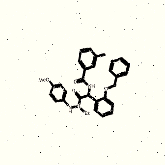 CCN(Nc1ccc(OC)cc1)C(=O)C(NC(=O)c1cccc(C)c1)c1ccccc1OCc1ccccc1